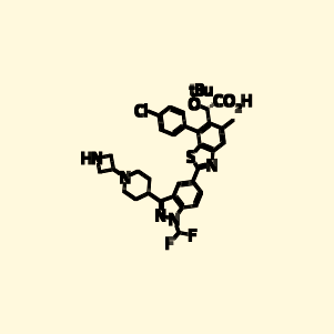 Cc1cc2nc(-c3ccc4c(c3)c(C3CCN(C5CNC5)CC3)nn4C(F)F)sc2c(-c2ccc(Cl)cc2)c1[C@H](OC(C)(C)C)C(=O)O